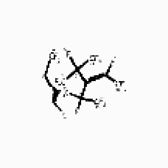 CCC=CCC(F)(F)F.FC(=C(C(F)(C(F)(F)F)C(F)(F)F)C(F)(C(F)(F)F)C(F)(F)F)C(F)(F)F